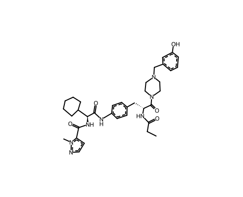 CCC(=O)N[C@H](Cc1ccc(NC(=O)[C@@H](NC(=O)c2ccnn2C)C2CCCCC2)cc1)C(=O)N1CCN(Cc2cccc(O)c2)CC1